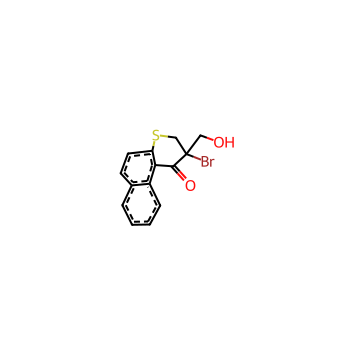 O=C1c2c(ccc3ccccc23)SCC1(Br)CO